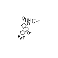 COC(=O)c1cc(C(F)(F)F)ccc1-c1ccc(C2(C(=O)Nc3ccc(F)cc3)COC2)cn1